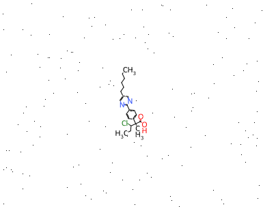 CCCCCCc1cnc(-c2ccc(C(C)(C(=O)O)C(Cl)CC)cc2)nc1